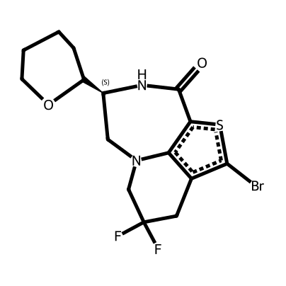 O=C1N[C@H](C2CCCCO2)CN2CC(F)(F)Cc3c(Br)sc1c32